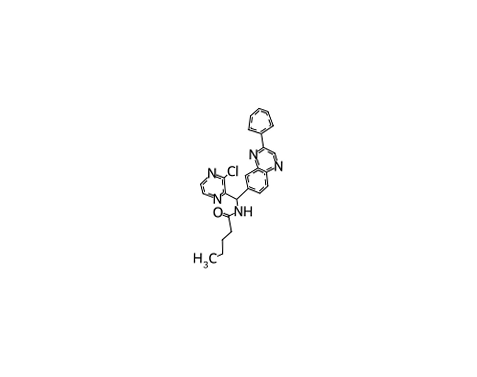 CCCCC(=O)NC(c1ccc2ncc(-c3ccccc3)nc2c1)c1nccnc1Cl